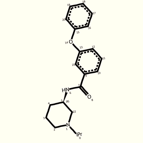 CC(C)N1CCC[C@@H](NC(=O)c2cccc(Oc3ccccc3)c2)C1